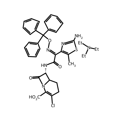 CCN(CC)CC.Cc1sc(N)nc1C(=NOC(c1ccccc1)(c1ccccc1)c1ccccc1)C(=O)N[C@H]1C(=O)N2C(C(=O)O)=C(Cl)CCC12